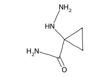 NNC1(C(N)=O)CC1